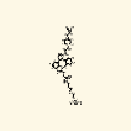 CCCCCOCCOCCCNC(=O)CCC(=O)N1Cc2ccccc2-c2c(nnn2CCCN2CCN(CCN(C)C)CC2)-c2ccccc21